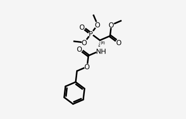 COC(=O)[C@H](NC(=O)OCc1ccccc1)P(=O)(OC)OC